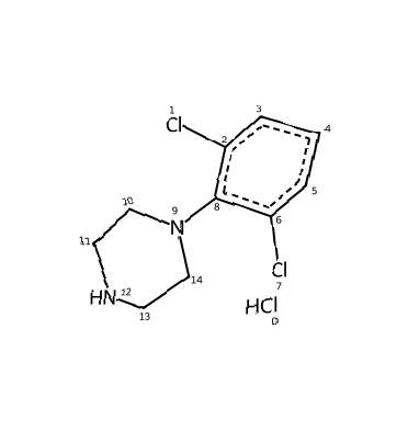 Cl.Clc1cccc(Cl)c1N1CCNCC1